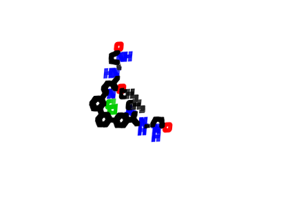 COc1nc(-c2cccc(-c3cccc(-c4ccc5c(CNC[C@@H]6CCC(=O)N6)cn(C)c5c4)c3Cl)c2Cl)ccc1CNC[C@@H]1CCC(=O)N1